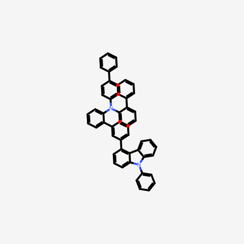 c1ccc(-c2ccc(N(c3ccccc3-c3ccccc3)c3ccccc3-c3cccc(-c4cccc5c4c4ccccc4n5-c4ccccc4)c3)cc2)cc1